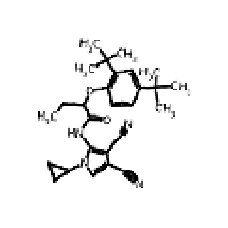 CCC(Oc1ccc(C(C)(C)C)cc1C(C)(C)C)C(=O)Nc1c(C#N)c(C#N)cn1C1CC1